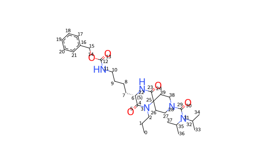 CCCN1C(=O)[C@H](CCCCNC(=O)OCc2ccccc2)NC(=O)C12CCN(C(=O)N(C(C)C)C(C)C)CC2